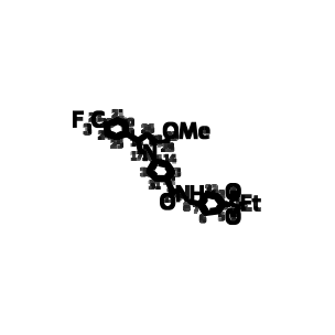 CCS(=O)(=O)c1ccc(CNC(=O)c2ccc(N3CC(c4ccc(C(F)(F)F)cc4)C[C@H]3COC)cc2)cc1